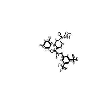 CONC(=O)N1CC[C@@H](C(=O)N(C)Cc2cc(C(F)(F)F)cc(C(F)(F)F)c2)[C@H](c2ccc(F)cc2C)C1